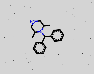 CC1CNCC(C)N1C(c1ccccc1)c1ccccc1